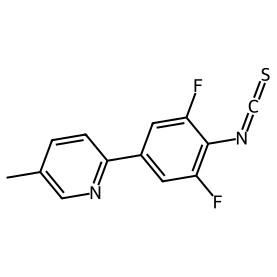 Cc1ccc(-c2cc(F)c(N=C=S)c(F)c2)nc1